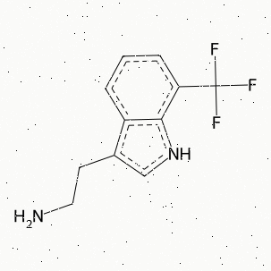 NCCc1c[nH]c2c(C(F)(F)F)cccc12